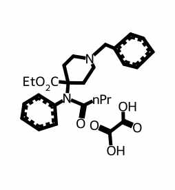 CCCC(=O)N(c1ccccc1)C1(C(=O)OCC)CCN(Cc2ccccc2)CC1.O=C(O)C(=O)O